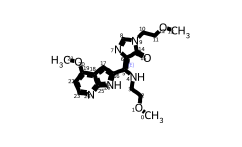 COCCN/C(=C1/N=CN(CCOC)C1=O)c1cc2c(OC)ccnc2[nH]1